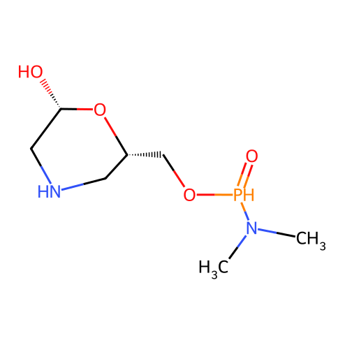 CN(C)[PH](=O)OC[C@@H]1CNC[C@H](O)O1